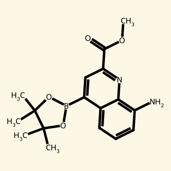 COC(=O)c1cc(B2OC(C)(C)C(C)(C)O2)c2cccc(N)c2n1